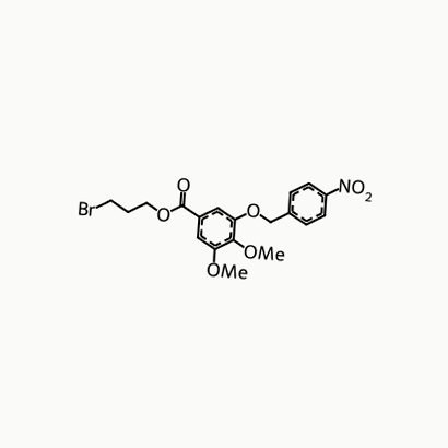 COc1cc(C(=O)OCCCBr)cc(OCc2ccc([N+](=O)[O-])cc2)c1OC